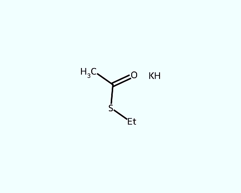 CCSC(C)=O.[KH]